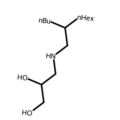 CCCCCCC(CCCC)CNCC(O)CO